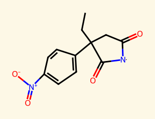 CCC1(c2ccc([N+](=O)[O-])cc2)CC(=O)[N]C1=O